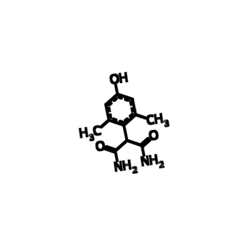 Cc1cc(O)cc(C)c1C(C(N)=O)C(N)=O